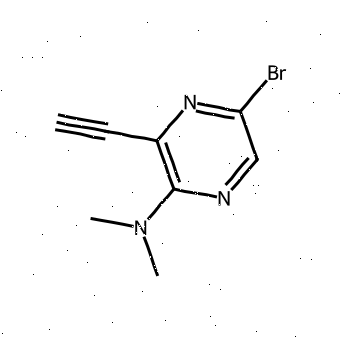 C#Cc1nc(Br)cnc1N(C)C